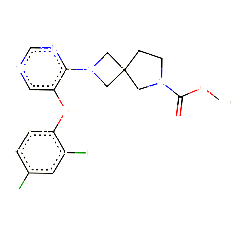 CC(C)(C)OC(=O)N1CCC2(C1)CN(c1ncncc1Oc1ccc(F)cc1Br)C2